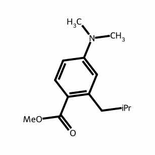 COC(=O)c1ccc(N(C)C)cc1CC(C)C